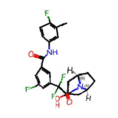 Cc1cc(NC(=O)c2cc(F)cc(C(F)(F)C(=O)N3[C@@H]4CC[C@H]3CC(O)C4)c2)ccc1F